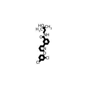 CC(C)(O)CCNC(=O)c1cccc(-c2cccc(Oc3ccc(Cl)cc3Cl)n2)c1